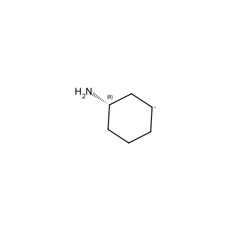 N[C@@H]1C[CH]CCC1